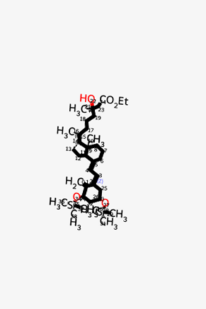 C=C1/C(=C\C=C2CCC[C@@]3(C)C2CC[C@@H]3[C@H](C)CCC[C@@](C)(O)CC(=O)OCC)C[C@@H](O[Si](C)(C)C)C[C@H]1O[Si](C)(C)C